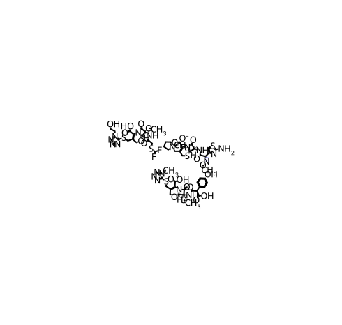 CO/N=C(\C(=O)N[C@@H]1C(=O)N2C(C(=O)[O-])=C(C[N+]3(C)CCCC3)CS[C@H]12)c1csc(N)n1.CO[C@@]1(NC(=O)C(C(=O)O)c2ccc(O)cc2)C(=O)N2C(C(=O)O)=C(CSc3nnnn3C)CO[C@@H]21.CO[C@@]1(NC(=O)CSC(F)F)C(=O)N2C(C(=O)O)=C(CSc3nnnn3CCO)CO[C@@H]21